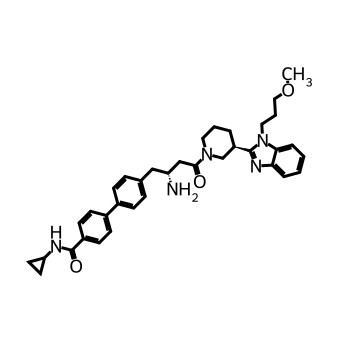 COCCCn1c([C@@H]2CCCN(C(=O)C[C@H](N)Cc3ccc(-c4ccc(C(=O)NC5CC5)cc4)cc3)C2)nc2ccccc21